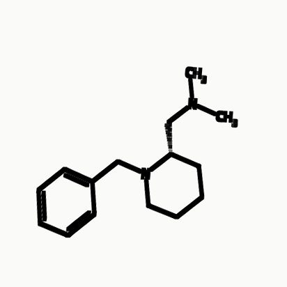 CN(C)C[C@@H]1CCCCN1Cc1ccccc1